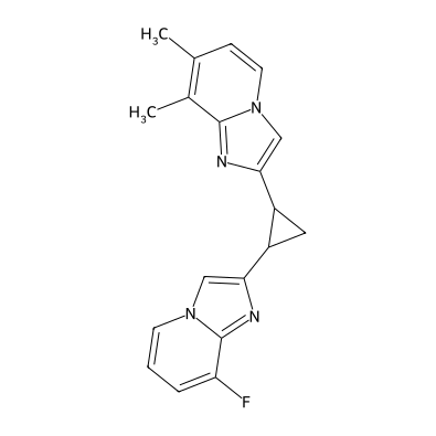 Cc1ccn2cc(C3CC3c3cn4cccc(F)c4n3)nc2c1C